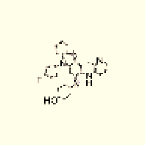 Cc1ncccc1Nc1cc2nc3ccccc3n(-c3ccc(F)cc3)c-2c/c1=N\C1CCC(O)CC1